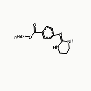 CCCCCCOC(=O)c1ccc(N=C2NCCCN2)cc1